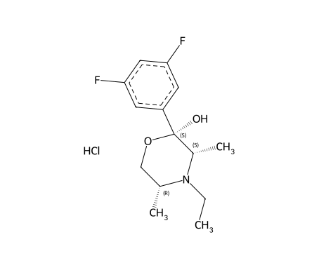 CCN1[C@H](C)CO[C@@](O)(c2cc(F)cc(F)c2)[C@@H]1C.Cl